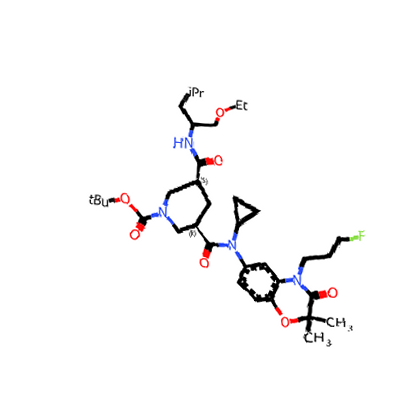 CCOCC(CC(C)C)NC(=O)[C@H]1C[C@@H](C(=O)N(c2ccc3c(c2)N(CCCF)C(=O)C(C)(C)O3)C2CC2)CN(C(=O)OC(C)(C)C)C1